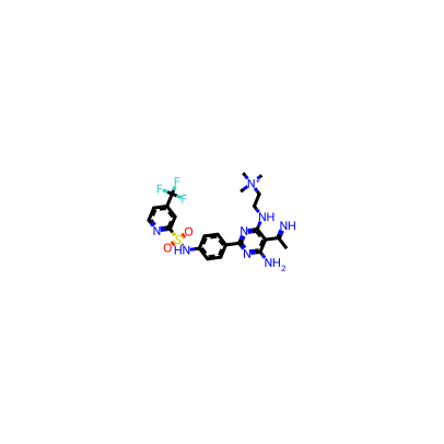 CC(=N)c1c(N)nc(-c2ccc(NS(=O)(=O)c3cc(C(F)(F)F)ccn3)cc2)nc1NCC[N+](C)(C)C